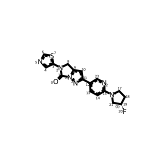 O=C1N(c2cncs2)Cc2cc(-c3ccc(N4CC[C@H](F)C4)nc3)nn21